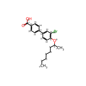 CCCCCCC(C)Oc1ccc(-c2ccc(C(=O)O)cc2)cc1Br